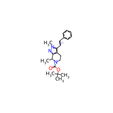 CC1c2nn(C)c(/C=C/c3ccccc3)c2CCN1C(=O)OC(C)(C)C